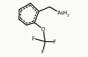 FC(F)(F)Oc1ccccc1C[AsH2]